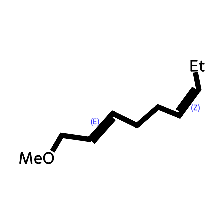 CC/C=C\CC/C=C/COC